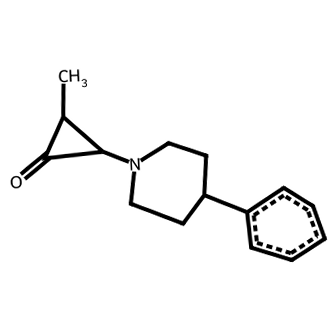 CC1C(=O)C1N1CCC(c2ccccc2)CC1